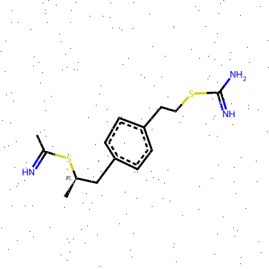 CC(=N)S[C@H](C)Cc1ccc(CCSC(=N)N)cc1